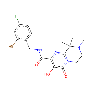 CN1CCn2c(nc(C(=O)NCc3ccc(F)cc3S)c(O)c2=O)C1(C)C